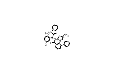 N[C@H]1CCN(c2c(C(=O)N[C@@H](c3cc4ccccc4[nH]3)c3cc(Cl)ccc3O)cccc2-c2ccccc2)C1